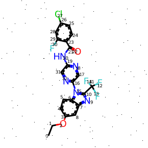 CCOc1ccc2c(c1)nc(C(F)(F)F)n2-c1cnc(NC(=O)c2ccc(Cl)cc2F)cn1